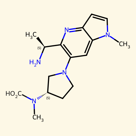 C[C@H](N)c1nc2ccn(C)c2cc1N1CC[C@H](N(C)C(=O)O)C1